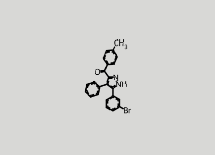 Cc1ccc(C(=O)c2n[nH]c(-c3cccc(Br)c3)c2-c2ccccc2)cc1